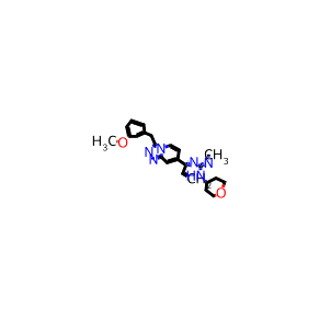 C=C/C(=N\C(=N/C)NC1CCOCC1)c1ccn2c(Cc3cccc(OC)c3)nnc2c1